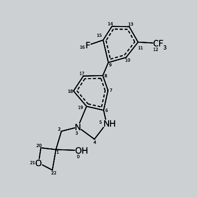 OC1(CN2CNc3cc(-c4cc(C(F)(F)F)ccc4F)ccc32)COC1